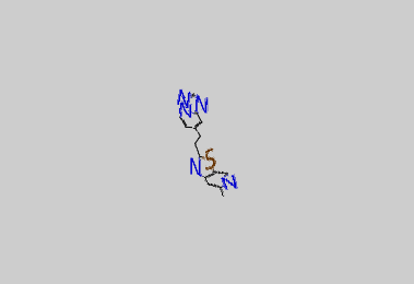 Cc1cc2nc(CCc3ccn4ncnc4c3)sc2cn1